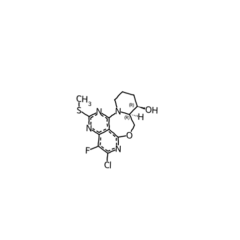 CSc1nc2c3c(nc(Cl)c(F)c3n1)OC[C@@H]1[C@H](O)CCCN21